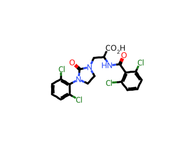 O=C(NC(CN1CCN(c2c(Cl)cccc2Cl)C1=O)C(=O)O)c1c(Cl)cccc1Cl